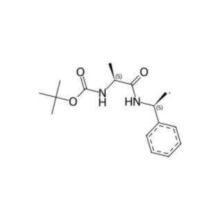 [CH2][C@H](NC(=O)[C@H](C)NC(=O)OC(C)(C)C)c1ccccc1